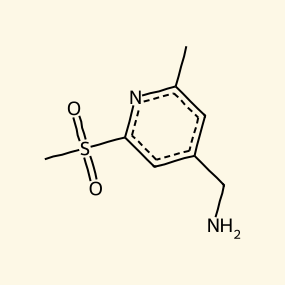 Cc1cc(CN)cc(S(C)(=O)=O)n1